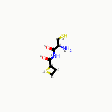 N[C@H](CS)C(=O)NC(=O)C1CCS1